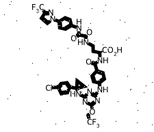 O=C(NCC[C@H](NC(=O)c1ccc(Nc2nc(NC3(c4ccc(Cl)cc4)CC3)nc(OCC(F)(F)F)n2)cc1)C(=O)O)C(=O)Nc1ccc(-n2ccc(C(F)(F)F)n2)cc1